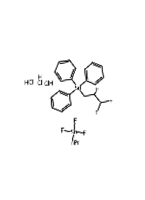 CC[CH2][Sn]([F])([F])[F].Cl.Cl.Cl.FC(F)C(F)[CH2][Sn]([c]1ccccc1)([c]1ccccc1)[c]1ccccc1